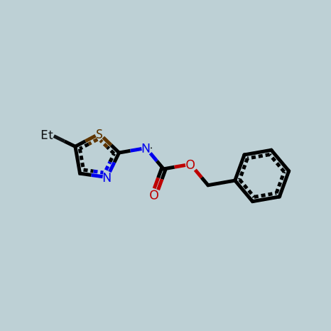 CCc1cnc([N]C(=O)OCc2ccccc2)s1